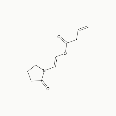 C=CCC(=O)OC=CN1CCCC1=O